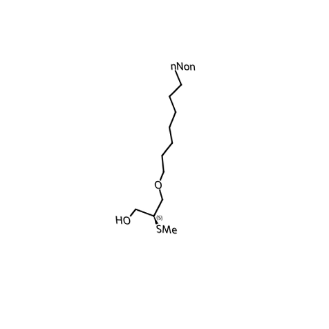 CCCCCCCCCCCCCCCCOC[C@H](CO)SC